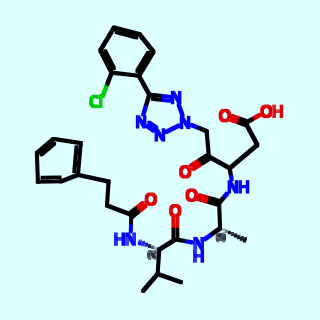 CC(C)[C@H](NC(=O)CCc1ccccc1)C(=O)N[C@@H](C)C(=O)NC(CC(=O)O)C(=O)Cn1nnc(-c2ccccc2Cl)n1